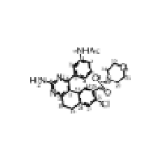 CC(=O)Nc1cccc(-c2nc(N)nc3c2-c2cc(S(=O)(=O)N4CCOCC4)c(Cl)cc2CC3)c1